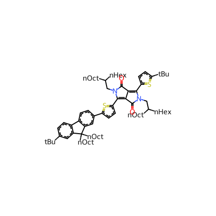 CCCCCCCCC(CCCCCC)CN1C(=O)C2=C(c3ccc(C(C)(C)C)s3)N(CC(CCCCCC)CCCCCCCC)C(=O)C2=C1c1ccc(-c2ccc3c(c2)C(CCCCCCCC)(CCCCCCCC)c2cc(C(C)(C)C)ccc2-3)s1